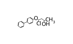 CC(O)CC(Cl)Oc1ccc(-c2ccccc2)cc1